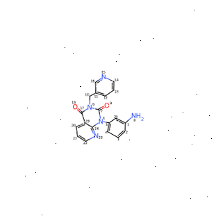 Nc1cccc(-n2c(=O)n(Cc3cccnc3)c(=O)c3cccnc32)c1